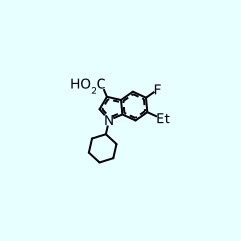 CCc1cc2c(cc1F)c(C(=O)O)cn2C1CCCCC1